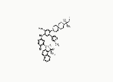 COc1cc(N2CCC3(CC2)CCN(C(C)(C)CF)CC3)c(-c2cnn(C)c2)cc1Nc1ncc(Br)c(Nc2ccc3nccnc3c2P(C)(C)=O)n1